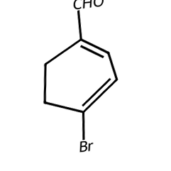 O=CC1=CC=C(Br)CC1